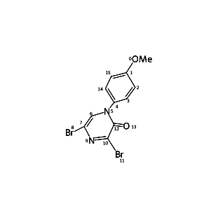 COc1ccc(-n2cc(Br)nc(Br)c2=O)cc1